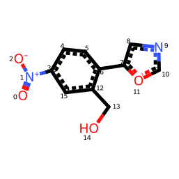 O=[N+]([O-])c1ccc(-c2cnco2)c(CO)c1